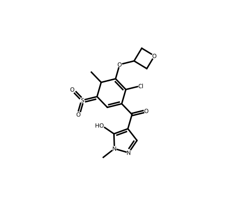 CC1C(OC2COC2)=C(Cl)C(C(=O)c2cnn(C)c2O)=CC1=S(=O)=O